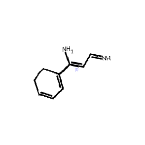 N=C/C=C(\N)C1=CC=CCC1